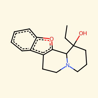 CCC1(O)CCCN2CCc3c(oc4ccccc34)C21